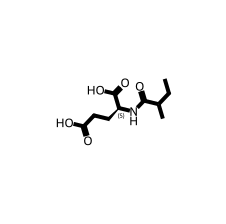 CCC(C)C(=O)N[C@@H](CCC(=O)O)C(=O)O